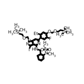 CCc1cc(OCOCC[Si](C)(C)C)c(F)cc1-c1cc2c(c(I)nn2COCC[Si](C)(C)C)c(NCc2ccccc2N(C)S(C)(=O)=O)n1